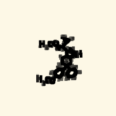 CON=C(c1n[nH]c2c1C=CC(c1ccccc1)(c1ccc(OC)cc1)C2)C1CC1